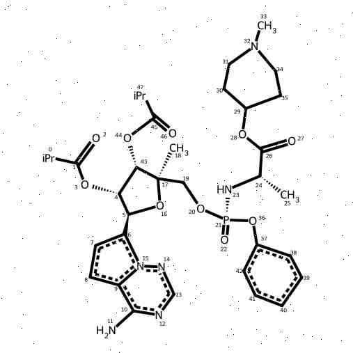 CC(C)C(=O)O[C@H]1[C@H](c2ccc3c(N)ncnn23)O[C@](C)(CO[P@@](=O)(N[C@@H](C)C(=O)OC2CCN(C)CC2)Oc2ccccc2)[C@H]1OC(=O)C(C)C